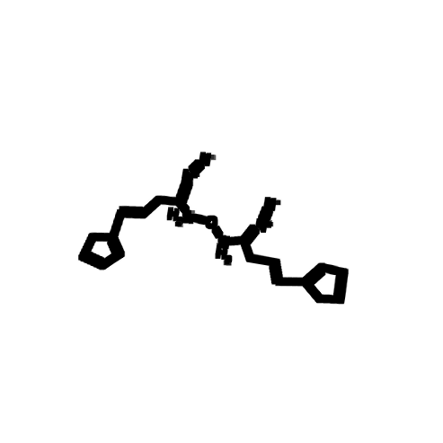 [N-]=[N+]=C(CC=CC1=CC=CC1)[SiH2]O[SiH2]C(CC=CC1=CC=CC1)=[N+]=[N-]